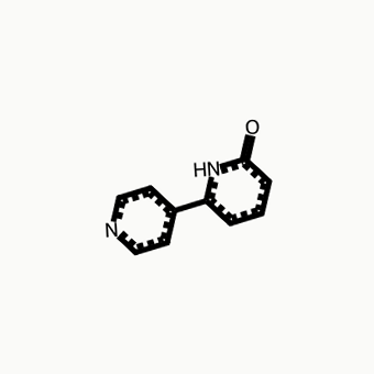 O=c1cccc(-c2ccncc2)[nH]1